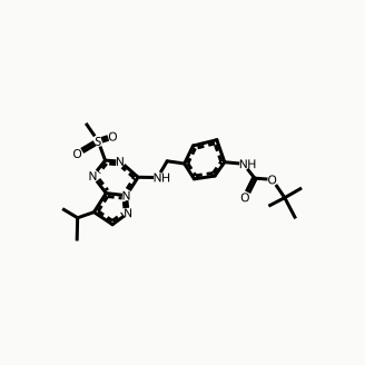 CC(C)c1cnn2c(NCc3ccc(NC(=O)OC(C)(C)C)cc3)nc(S(C)(=O)=O)nc12